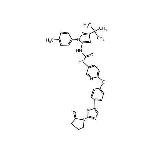 Cc1ccc(-n2nc(C(C)(C)C)cc2NC(=O)Nc2cnc(Oc3ccc(-c4cnc(N5CCCC5=O)s4)cc3)nc2)cc1